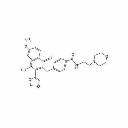 COc1ccc(C(=O)C(Cc2ccc(C(=O)NCCN3CCOCC3)cc2)=C(C(=O)O)C2=COCO2)cc1